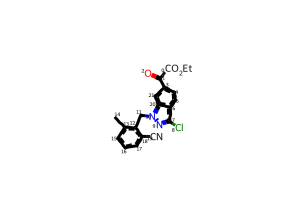 CCOC(=O)C(=O)c1ccc2c(Cl)nn(Cc3c(C)cccc3C#N)c2c1